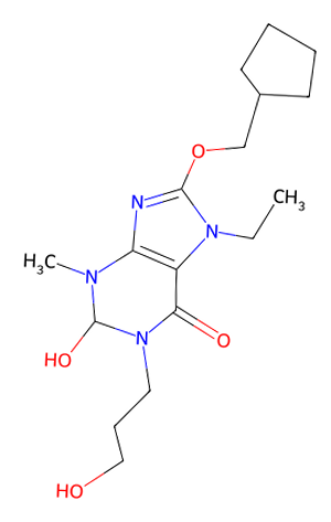 CCn1c(OCC2CCCC2)nc2c1C(=O)N(CCCO)C(O)N2C